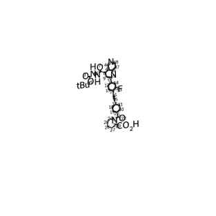 CC(C)(C)OC(=O)NNC(=O)c1cc(-c2ccc(C#Cc3ccc(C(=O)N4CCCCC4C(=O)O)cc3)c(F)c2)nc2ccncc12